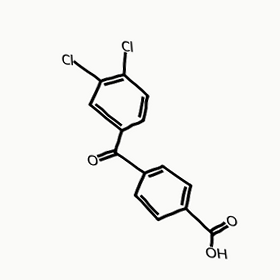 O=C(O)c1ccc(C(=O)c2ccc(Cl)c(Cl)c2)cc1